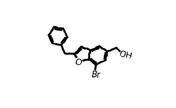 OCc1cc(Br)c2oc(Cc3ccccc3)cc2c1